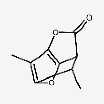 Cc1c2oc3c1OC(=O)C3C2C